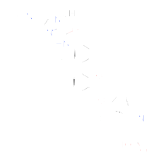 COc1c(CN2CCC(C(=O)O)C2)cc(Cl)c(OC2COc3c(-c4cccc(NC(=O)c5nc6c(n5C)CCN(C)C6)c4Cl)cccc32)c1F